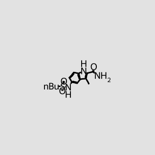 CCCCS(=O)(=O)Nc1ccc2[nH]c(C(N)=O)c(C)c2c1